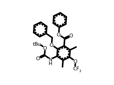 Cc1c(NC(=O)OC(C)(C)C)c(OCc2ccccc2)c(C(=O)Oc2ccccc2)c(C)c1OC(F)(F)F